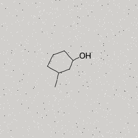 C[C]1CCCC(O)C1